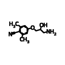 Cc1cc(OCC(O)CN)cc(C)c1C#N